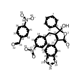 O=C1OC(O)(c2ccccc2)C(Cc2ccc([N+](=O)[O-])cc2)=C1c1ccc2nsnc2c1.O=Cc1ccc([N+](=O)[O-])cc1